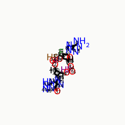 Nc1ncnc2c1ncn2[C@@H]1O[C@@H]2CO[PH](=O)OC[C@@H]3[C@@H](CO[P@](=O)(S)O[C@H]2[C@H]1F)C[C@H]3n1cnc2c(=O)n3cnnc3[nH]c21